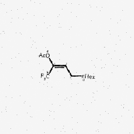 CCCCCCCC=C(OC(C)=O)C(F)(F)F